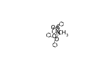 CN(CCOCc1ccccc1)C(COCc1ccccc1)C(/C=C\C=O)OCc1ccccc1